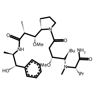 CC[C@H](C)[C@@H]([C@@H](CC(=O)N1CCC[C@H]1[C@H](OC)[C@@H](C)C(=O)N[C@H](C)[C@@H](O)c1ccccc1)OC)N(C)[C@H](C(N)=O)C(C)C